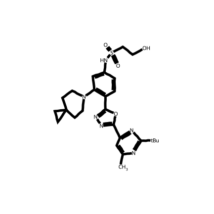 Cc1cc(-c2nnc(-c3ccc(NS(=O)(=O)CCO)cc3N3CCC4(CC3)CC4)o2)nc(C(C)(C)C)n1